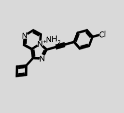 N[N+]12C=CN=CC1=C(C1=CC=C1)N=C2C#Cc1ccc(Cl)cc1